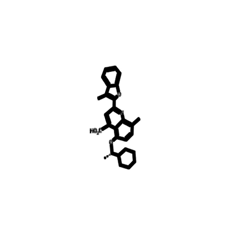 Cc1c(-c2cc(C(=O)O)c3c(O[C@@H](C)C4CCCCC4)ccc(C)c3n2)oc2ccccc12